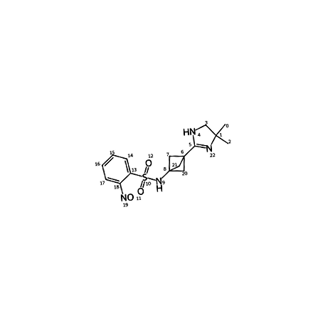 CC1(C)CNC(C23CC(NS(=O)(=O)c4ccccc4N=O)(C2)C3)=N1